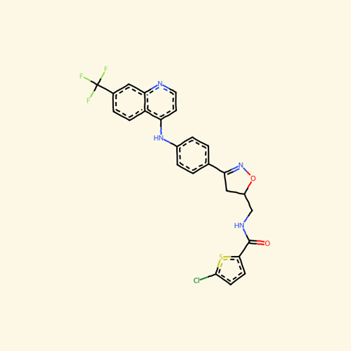 O=C(NCC1CC(c2ccc(Nc3ccnc4cc(C(F)(F)F)ccc34)cc2)=NO1)c1ccc(Cl)s1